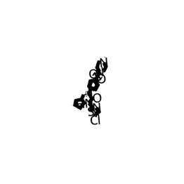 CN1CCN(S(=O)(=O)c2ccc([C@@H](CC3CCCC3)C(=O)Nc3ncc(Cl)s3)cc2)CC1